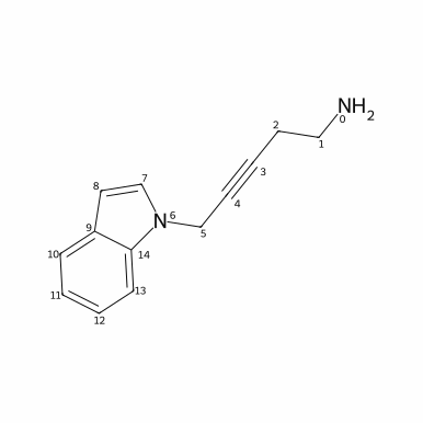 NCCC#CCn1ccc2ccccc21